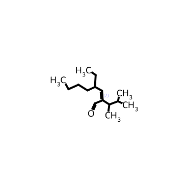 CCCCC(/C=C(\C=O)C(C)C(C)C)CC